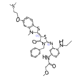 CCNc1ccc(NC(=O)COC)cc1/N=C1/S/C(=C2\Sc3ccc(OCCN(C)C)cc3N2C)C(=O)N1Cc1ccccc1